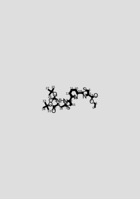 CCOC(=O)c1csc(-c2cccc(-c3csc(C[C@H](NC(=O)OC(C)(C)C)C(=O)OC(C)(C)C)n3)n2)n1